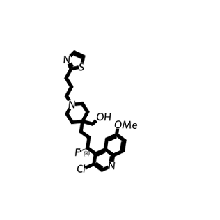 COc1ccc2ncc(Cl)c([C@H](F)CCC3(CO)CCN(CCCc4nccs4)CC3)c2c1